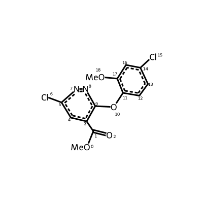 COC(=O)c1cc(Cl)nnc1Oc1ccc(Cl)cc1OC